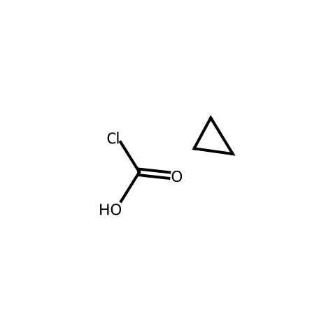 C1CC1.O=C(O)Cl